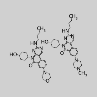 CCCCNc1ncc2c3ccc(N4CCN(C)CC4)cc3c(=O)n([C@H]3CC[C@@H](O)CC3)c2n1.CCCCNc1ncc2c3ccc(N4CCOCC4)cc3c(=O)n([C@H]3CC[C@H](O)CC3)c2n1